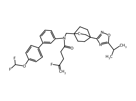 C=C(F)CCC(=O)N(CC12CCC(c3noc(C(C)C)n3)(CC1)CC2)c1cccc(-c2ccc(OC(F)F)cc2)c1